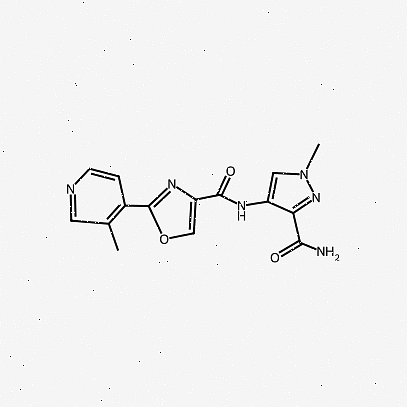 Cc1cnccc1-c1nc(C(=O)Nc2cn(C)nc2C(N)=O)co1